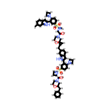 Cc1ccc2cc(-c3cc(S(=O)(=O)N(C)CC(=O)N4CCOC5(CC5Cc5ccc6cc(-c7cc(S(=O)(=O)N8CC[C@H]8C(=O)N8CCOC(Cc9ccccc9)C8)ccc7N7CCC7)[nH]c6c5)C4)ccc3N3CCC3)[nH]c2c1